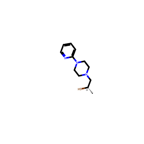 C[C@H](S)CN1CCN(c2ccccn2)CC1